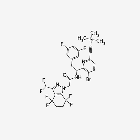 C[Si](C)(C)C#Cc1ccc(Br)c(C(Cc2cc(F)cc(F)c2)NC(=O)Cn2nc(C(F)F)c3c2C(F)(F)CCC3(F)F)n1